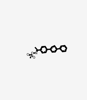 CC(=NOS(C)(=O)=O)c1ccc(-c2ccc(-c3ccccc3)cc2)cc1